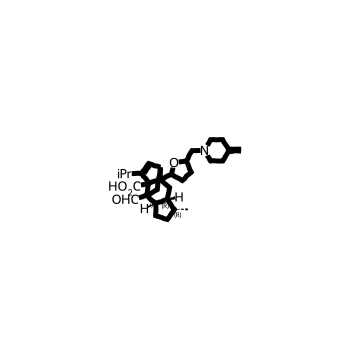 C=C1CCN(CC2CCC(C34C[C@@H]5[C@H](C)CC[C@H]5C5(C=O)CC3C=C(C(C)C)C45C(=O)O)O2)CC1